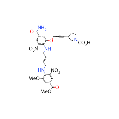 COC(=O)c1cc(OC)c(NCC=CCNc2c(OCC#CC3CCN(C(=O)O)C3)cc(C(N)=O)cc2[N+](=O)[O-])c([N+](=O)[O-])c1